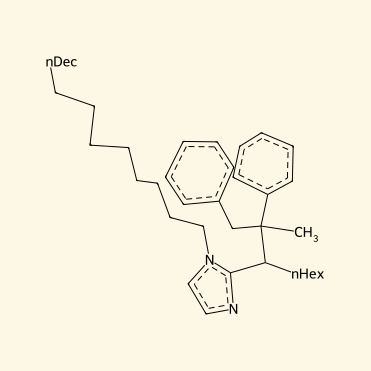 CCCCCCCCCCCCCCCCCCn1ccnc1C(CCCCCC)C(C)(Cc1ccccc1)c1ccccc1